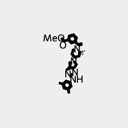 C=C(c1cccc(C(=O)OC)c1)N1CC[C@@H](N2Cc3cnc(Nc4cc(C)cc(C)c4)nc3C2)C[C@H]1C